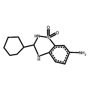 Nc1ccc2c(c1)S(=O)(=O)NC(C1CCCCC1)N2